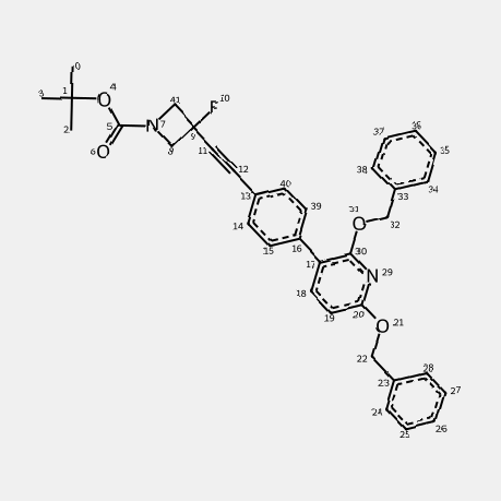 CC(C)(C)OC(=O)N1CC(F)(C#Cc2ccc(-c3ccc(OCc4ccccc4)nc3OCc3ccccc3)cc2)C1